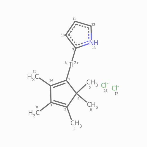 CC1=C(C)C(C)(C)[C]([Ti+2][c]2ccc[nH]2)=C1C.[Cl-].[Cl-]